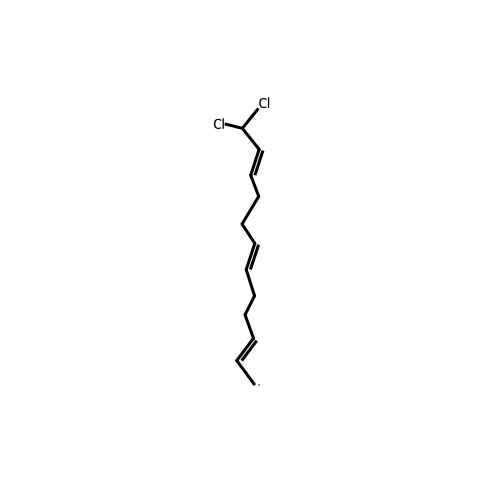 [CH2]C=CCCC=CCCC=C[C](Cl)Cl